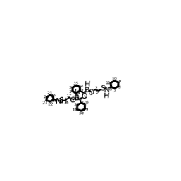 B(OCCSNc1ccccc1)C(OC(BOCCSNc1ccccc1)c1ccccc1)c1ccccc1